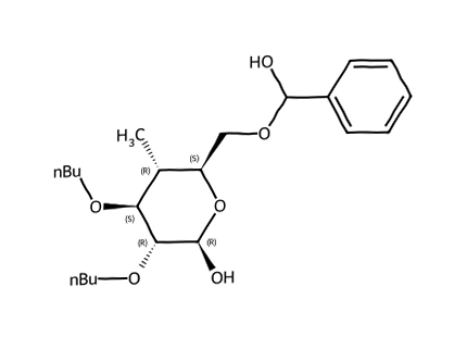 CCCCO[C@@H]1[C@@H](OCCCC)[C@H](C)[C@@H](COC(O)c2ccccc2)O[C@H]1O